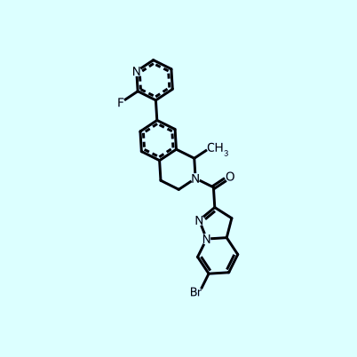 CC1c2cc(-c3cccnc3F)ccc2CCN1C(=O)C1=NN2C=C(Br)C=CC2C1